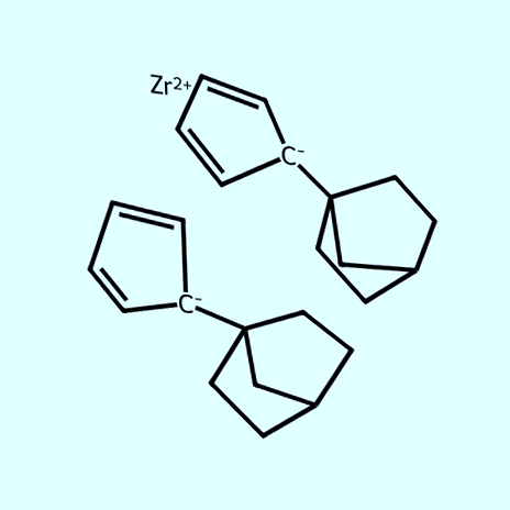 [Zr+2].c1cc[c-](C23CCC(CC2)C3)c1.c1cc[c-](C23CCC(CC2)C3)c1